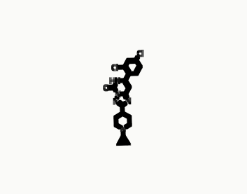 O=c1[nH]c(-c2ccc(Cl)cc2Cl)cc2nc(C3CCN(C4CC4)CC3)nn12